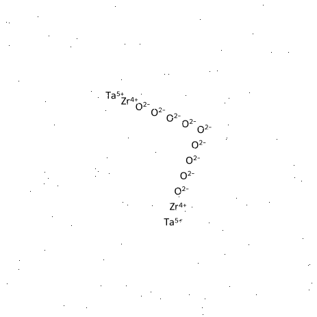 [O-2].[O-2].[O-2].[O-2].[O-2].[O-2].[O-2].[O-2].[O-2].[Ta+5].[Ta+5].[Zr+4].[Zr+4]